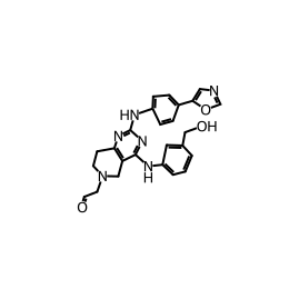 O=CCN1CCc2nc(Nc3ccc(-c4cnco4)cc3)nc(Nc3cccc(CO)c3)c2C1